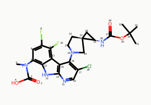 CN(C(=O)O)c1cc(F)c(F)c2c1[nH]c1ncc(Cl)c(N3CC[C@]4(C[C@@H]4NC(=O)OC(C)(C)C)C3)c12